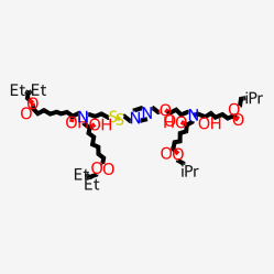 CCC(CC)COC(=O)CCCCCCC(O)CN(CCCCSSCCN1CCN(CCOC(=O)CCCN(CC(O)CCCCC(=O)OCCC(C)C)CC(O)CCCCC(=O)OCCC(C)C)CC1)CC(O)CCCCCCC(=O)OCC(CC)CC